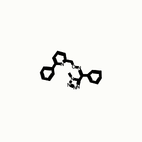 Cn1nnnc1C(=NOCc1cccc(-c2ccccc2)n1)c1ccccc1